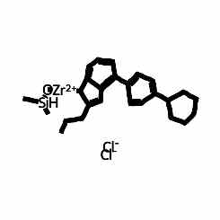 CCCC1=Cc2c(-c3ccc(C4CCCCC4)cc3)cccc2[CH]1[Zr+2][O][SiH](C)C.[Cl-].[Cl-]